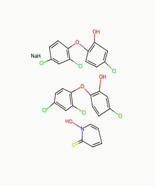 Oc1cc(Cl)ccc1Oc1ccc(Cl)cc1Cl.Oc1cc(Cl)ccc1Oc1ccc(Cl)cc1Cl.On1ccccc1=S.[NaH]